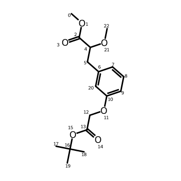 COC(=O)C(Cc1cccc(OCC(=O)OC(C)(C)C)c1)OC